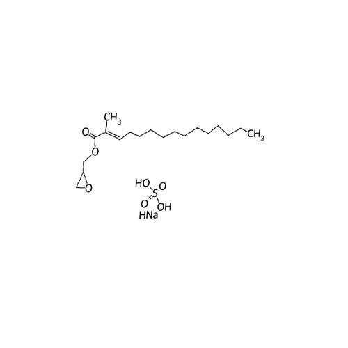 CCCCCCCCCCCCC=C(C)C(=O)OCC1CO1.O=S(=O)(O)O.[NaH]